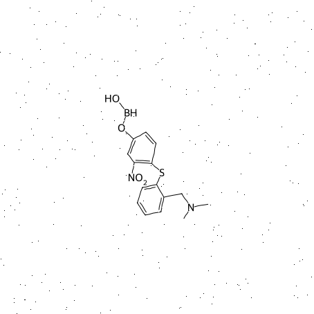 CN(C)Cc1ccccc1Sc1ccc(OBO)cc1[N+](=O)[O-]